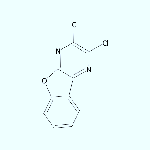 Clc1nc2oc3ccccc3c2nc1Cl